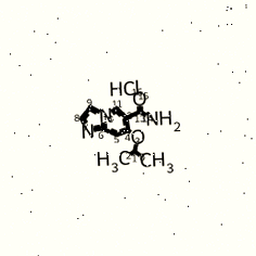 CC(C)Oc1cc2nccn2cc1C(N)=O.Cl